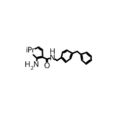 C/C(N)=C(\C=C/C(C)C)C(=O)NCc1ccc(Cc2ccccc2)cc1